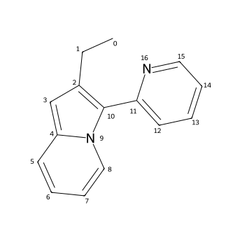 CCc1cc2ccccn2c1-c1ccccn1